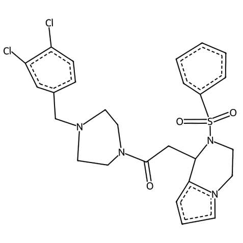 O=C(CC1c2cccn2CCN1S(=O)(=O)c1ccccc1)N1CCN(Cc2ccc(Cl)c(Cl)c2)CC1